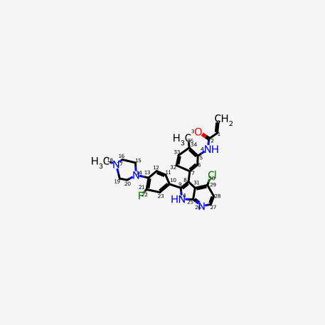 C=CC(=O)Nc1cc(-c2c(-c3ccc(N4CCN(C)CC4)c(F)c3)[nH]c3nccc(Cl)c23)ccc1C